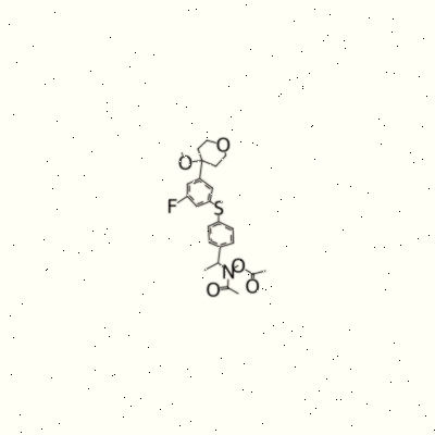 COC1(c2cc(F)cc(Sc3ccc(C(C)N(OC(C)=O)C(C)=O)cc3)c2)CCOCC1